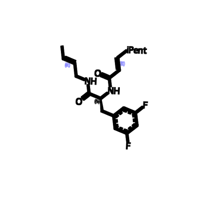 C/C=C/CNC(=O)[C@H](Cc1cc(F)cc(F)c1)NC(=O)/C=C/C(C)CCC